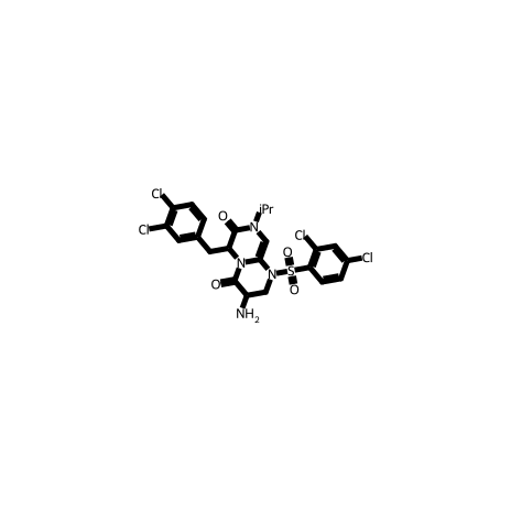 CC(C)N1C=C2N(C(=O)C(N)CN2S(=O)(=O)c2ccc(Cl)cc2Cl)C(Cc2ccc(Cl)c(Cl)c2)C1=O